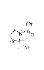 CCCC(=O)N1CCSC12CNC2